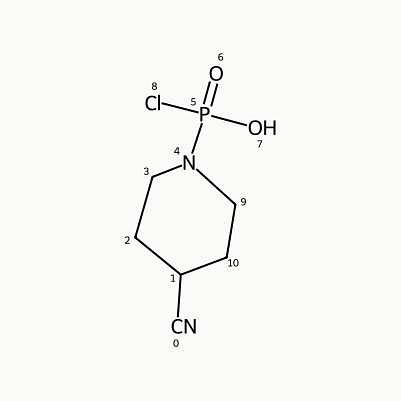 N#CC1CCN(P(=O)(O)Cl)CC1